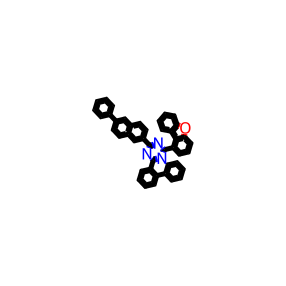 c1ccc(-c2ccc3cc(-c4nc(-c5ccccc5-c5ccccc5)nc(-c5cccc6oc7ccccc7c56)n4)ccc3c2)cc1